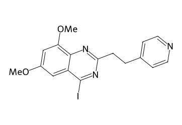 COc1cc(OC)c2nc(CCc3ccncc3)nc(I)c2c1